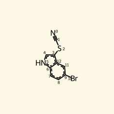 N#CSc1c[nH]c2ccc(Br)cc12